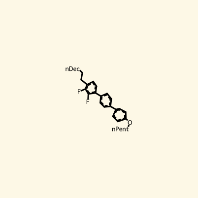 CCCCCCCCCCCCc1ccc(-c2ccc(-c3ccc(OCCCCC)cc3)cc2)c(F)c1F